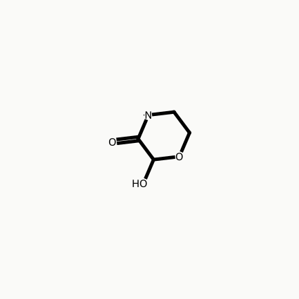 O=C1[N]CCOC1O